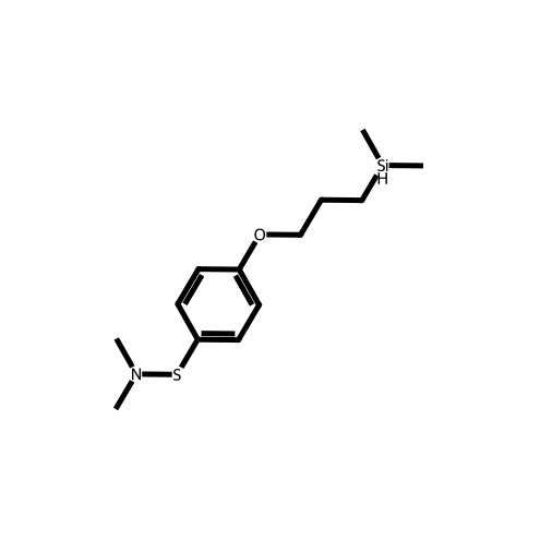 CN(C)Sc1ccc(OCCC[SiH](C)C)cc1